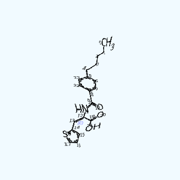 CCCCCc1ccc(C(=O)N/C(=C/c2cccs2)C(=O)O)cc1